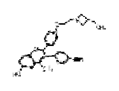 CCC1CN(CCOc2ccc(C3Oc4ccc(O)cc4C(C)=C3c3ccc(C#N)cc3)cc2)C1